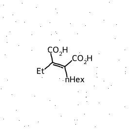 CCCCCC/C(C(=O)O)=C(\CC)C(=O)O